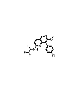 COc1ncc2ccc(NC(F)C(F)F)nc2c1-c1ccc(Cl)cc1